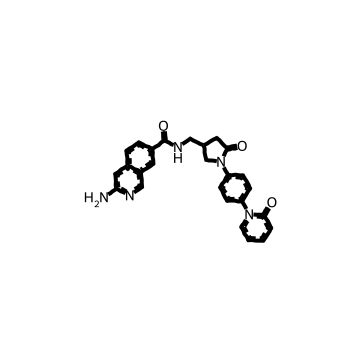 Nc1cc2ccc(C(=O)NCC3CC(=O)N(c4ccc(-n5ccccc5=O)cc4)C3)cc2cn1